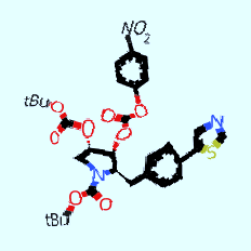 CC(C)(C)OC(=O)O[C@H]1CN(C(=O)OC(C)(C)C)[C@H](Cc2ccc(-c3cncs3)cc2)[C@@H]1OC(=O)Oc1ccc([N+](=O)[O-])cc1